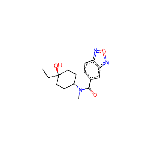 CC[C@]1(O)CC[C@H](N(C)C(=O)c2ccc3nonc3c2)CC1